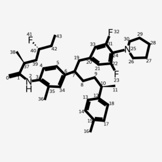 C=C(Nc1ccc(C(CC[C@@H](C)c2ccc(C)cc2)Cc2cc(F)c(N3CCCCC3)c(F)c2)cc1C)[C@@H](C)C[C@H](F)CC